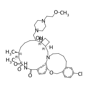 COCCN1CCN(CC2(O)CCC[C@H](C)[C@@H](C)S(=O)(=O)NC(=O)c3ccc4c(c3)N(CCCCc3cc(Cl)ccc3CO4)C[C@@H]3CC[C@H]32)CC1